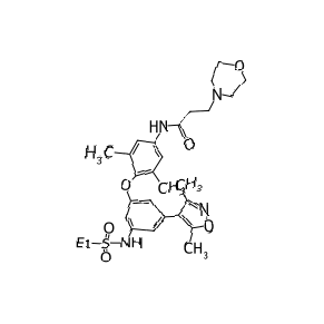 CCS(=O)(=O)Nc1cc(Oc2c(C)cc(NC(=O)CCN3CCOCC3)cc2C)cc(-c2c(C)noc2C)c1